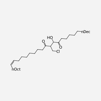 CCCCCCCC/C=C\CCCCCCCC(=O)C(CCl)C(O)C(=O)CCCCCCCCCCCCCCC